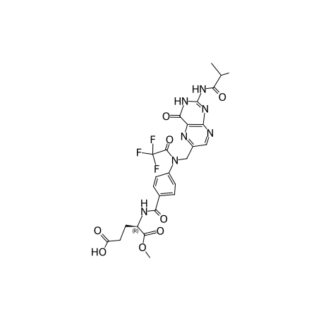 COC(=O)[C@@H](CCC(=O)O)NC(=O)c1ccc(N(Cc2cnc3nc(NC(=O)C(C)C)[nH]c(=O)c3n2)C(=O)C(F)(F)F)cc1